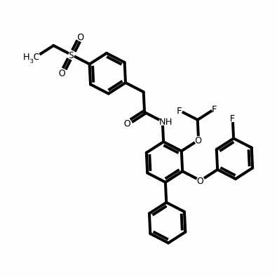 CCS(=O)(=O)c1ccc(CC(=O)Nc2ccc(-c3ccccc3)c(Oc3cccc(F)c3)c2OC(F)F)cc1